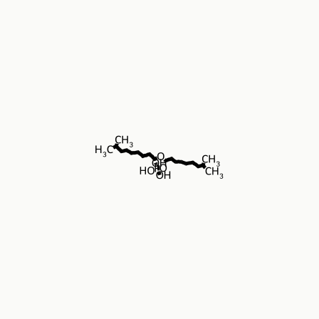 CC(C)CCCCCCCOCCCCCCCC(C)C.O=P(O)(O)O